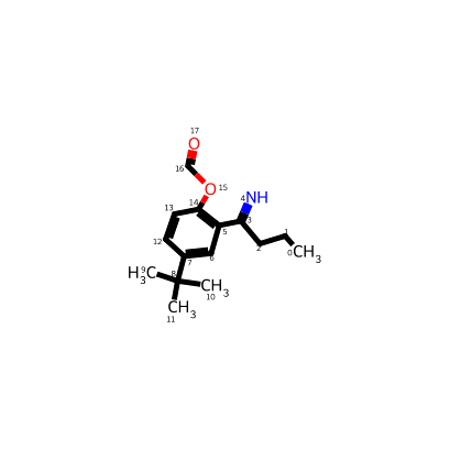 CCCC(=N)c1cc(C(C)(C)C)ccc1OC=O